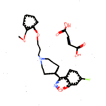 COc1ccccc1OCCCN1CCC(c2noc3cc(F)ccc23)CC1.O=C(O)/C=C/C(=O)O